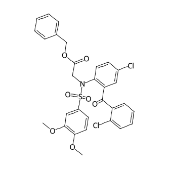 COc1ccc(S(=O)(=O)N(CC(=O)OCc2ccccc2)c2ccc(Cl)cc2C(=O)c2ccccc2Cl)cc1OC